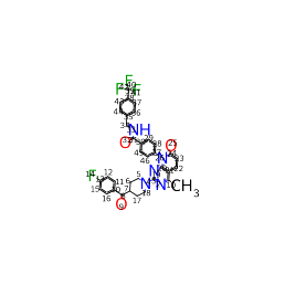 Cc1nc(N2CCC(C(=O)c3ccc(F)cc3)CC2)nc2c1ccc(=O)n2-c1ccc(C(=O)NCc2ccc(C(F)(F)F)cc2)cc1